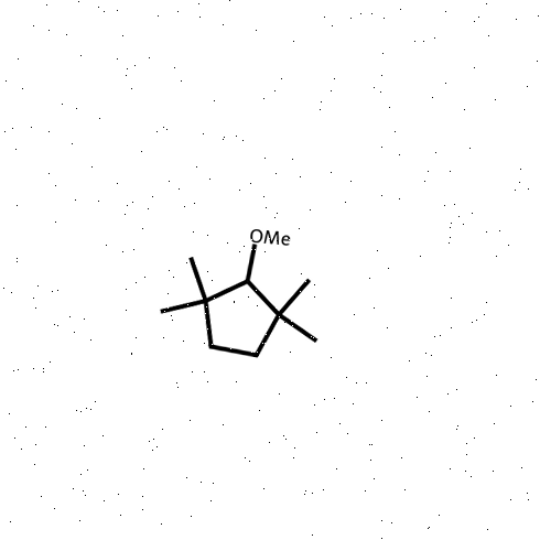 COC1C(C)(C)CCC1(C)C